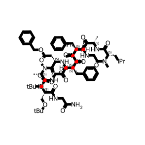 CC(C)C[C@@H](C(=O)N[C@@H](C)C(=O)N[C@H](C(=O)N[C@@H](Cc1ccccc1)C(=O)N[C@@H](CC(=O)OCc1ccccc1)C(=O)N(C)[C@@H](C)C(=O)N[C@@H](COC(C)(C)C)C(=O)NCC(N)=O)C(C)C)N(C)C(=O)CNC(=O)[C@H](Cc1ccccc1)N(C)C(=O)[C@H](C)NC(=O)CNC(=O)OC(C)(C)C